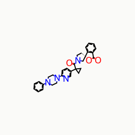 O=C1O[C@]2(CCN(C(=O)C3(c4ccc(N5CCN(c6ccccc6)CC5)nc4)CC3)C2)c2ccccc21